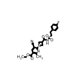 CCOC(=O)c1cc(C#N)c(N2CC(C(=O)NS(=O)(=O)CCc3ccc(F)cc3)C2)nc1C